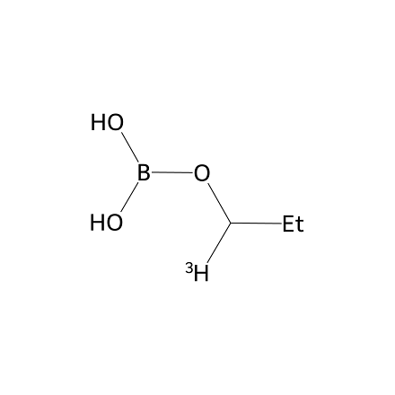 [3H]C(CC)OB(O)O